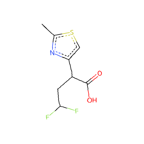 Cc1nc(C(CC(F)F)C(=O)O)cs1